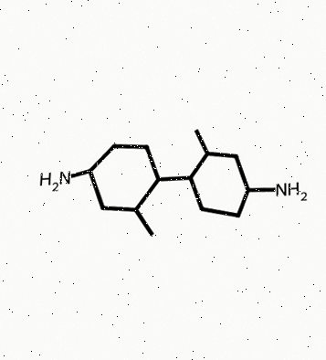 CC1CC(N)CCC1C1CCC(N)CC1C